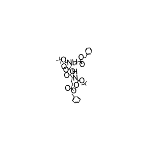 CC(C)(C)OC(=O)N[C@@H](CCC(=O)OCc1ccccc1)C(=O)OC(=O)[C@H](CCC(=O)OCc1ccccc1)NC(=O)OC(C)(C)C